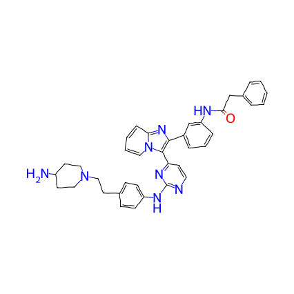 NC1CCN(CCc2ccc(Nc3nccc(-c4c(-c5cccc(NC(=O)Cc6ccccc6)c5)nc5ccccn45)n3)cc2)CC1